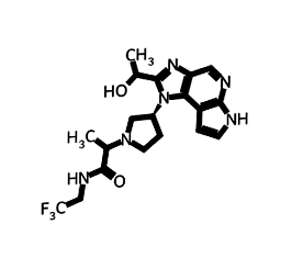 CC(O)c1nc2cnc3[nH]ccc3c2n1[C@H]1CCN(C(C)C(=O)NCC(F)(F)F)C1